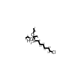 CCOC(C)(OCC)[SiH2]CCCCCCCl